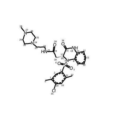 Cc1cc(S(=O)(=O)N2c3ccccc3NC(=O)[C@H]2CC(=O)NCCN2CCN(C)CC2)c(C)cc1Cl